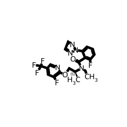 CCN(C(=O)c1c(F)cccc1-n1nccn1)[C@@H](C)COc1ncc(C(F)(F)F)cc1F